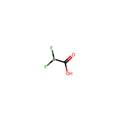 O=C(O)B(F)F